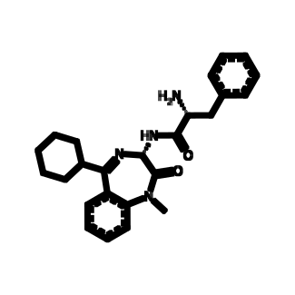 CN1C(=O)[C@@H](NC(=O)[C@H](N)Cc2ccccc2)N=C(C2CCCCC2)c2ccccc21